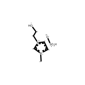 C[n+]1ccn(CCO)c1.O=S(=O)([O-])O